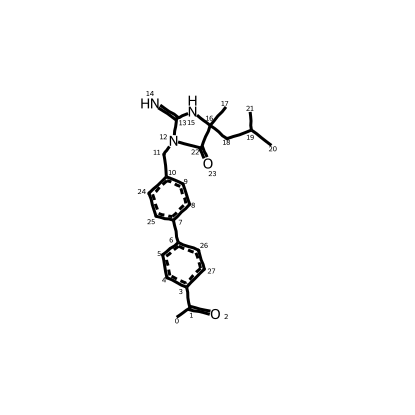 CC(=O)c1ccc(-c2ccc(CN3C(=N)NC(C)(CC(C)C)C3=O)cc2)cc1